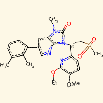 CCOc1nc([C@@H](CS(C)(=O)=O)n2c(=O)n(C)c3cc(-c4cccc(C)c4C)cnc32)ccc1OC